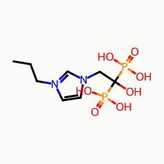 CCC[n+]1ccn(CC(O)(P(=O)(O)O)P(=O)(O)O)c1